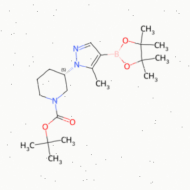 Cc1c(B2OC(C)(C)C(C)(C)O2)cnn1[C@H]1CCCN(C(=O)OC(C)(C)C)C1